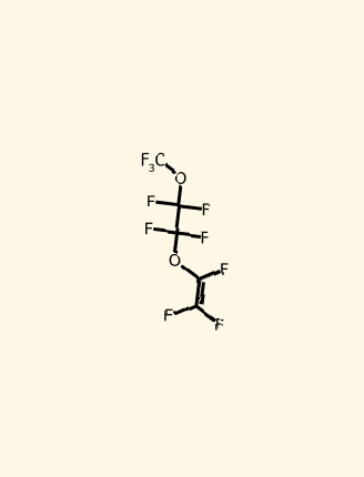 FC(F)=C(F)OC(F)(F)C(F)(F)OC(F)(F)F